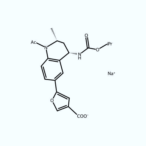 CC(=O)N1c2ccc(-c3cc(C(=O)[O-])co3)cc2[C@@H](NC(=O)OC(C)C)C[C@H]1C.[Na+]